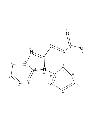 O=C(O)C=Cc1nc2ccccc2n1-c1ccccc1